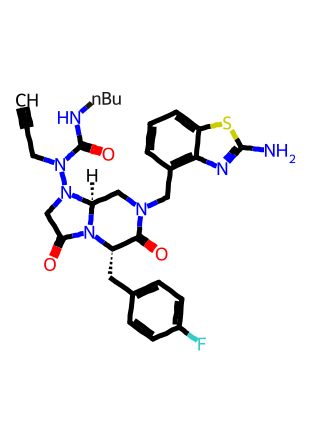 C#CCN(C(=O)NCCCC)N1CC(=O)N2[C@@H](Cc3ccc(F)cc3)C(=O)N(Cc3cccc4sc(N)nc34)C[C@@H]21